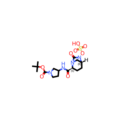 CC(C)(C)OC(=O)N1CCC(NC(=O)[C@@H]2CC[C@@H]3CN2C(=O)N3OS(=O)(=O)O)C1